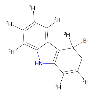 [2H]C1=C([2H])c2[nH]c3c([2H])c([2H])c([2H])c([2H])c3c2C([2H])(Br)C1